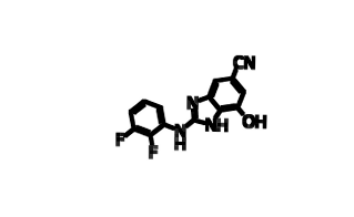 N#Cc1cc(O)c2[nH]c(Nc3cccc(F)c3F)nc2c1